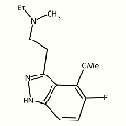 CCN(C)CCc1n[nH]c2ccc(F)c(OC)c12